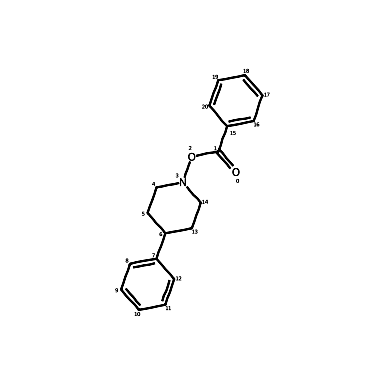 O=C(ON1CCC(c2ccccc2)CC1)c1ccccc1